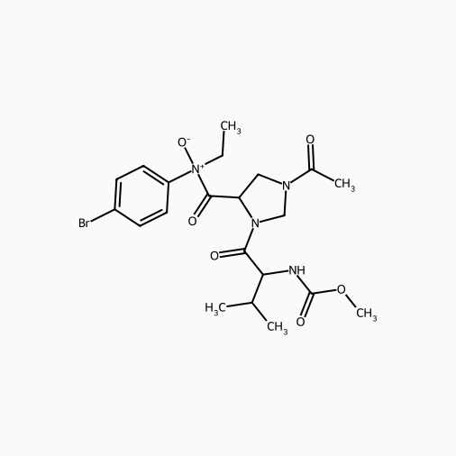 CC[N+]([O-])(C(=O)C1CN(C(C)=O)CN1C(=O)C(NC(=O)OC)C(C)C)c1ccc(Br)cc1